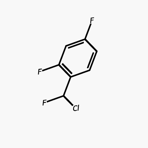 Fc1ccc(C(F)Cl)c(F)c1